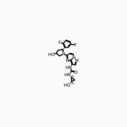 O=C(Nc1cnn2ccc(N3C[C@H](O)C[C@@H]3c3cc(F)ccc3F)nc12)N[C@@H]1C[C@H]1O